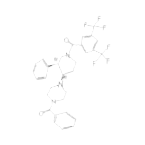 O=C(c1ccccc1)N1CCN([C@@H]2CCN(C(=O)c3cc(C(F)(F)F)cc(C(F)(F)F)c3)C[C@@H]2c2ccccc2)CC1